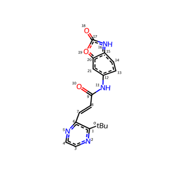 CC(C)(C)c1nccnc1/C=C/C(=O)Nc1ccc2[nH]c(=O)oc2c1